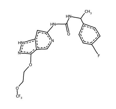 CC(NC(=O)Nc1cc2[nH]nc(OCCOC(F)(F)F)c2cn1)c1ccc(F)cc1